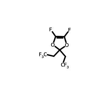 FC1=C(F)OC(CC(F)(F)F)(CC(F)(F)F)O1